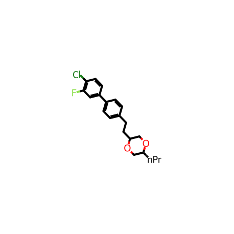 CCCC1COC(CCc2ccc(-c3ccc(Cl)c(F)c3)cc2)CO1